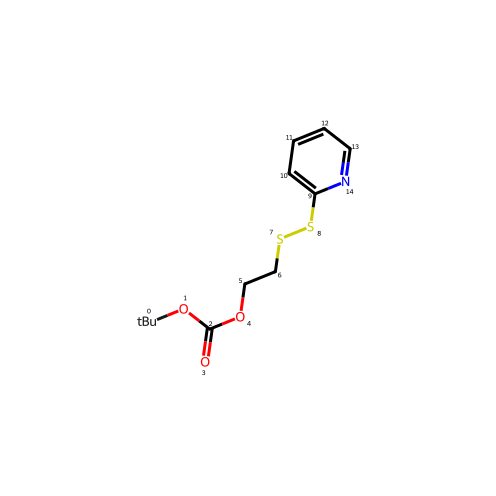 CC(C)(C)OC(=O)OCCSSc1ccccn1